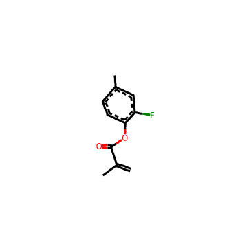 C=C(C)C(=O)Oc1ccc(C)cc1F